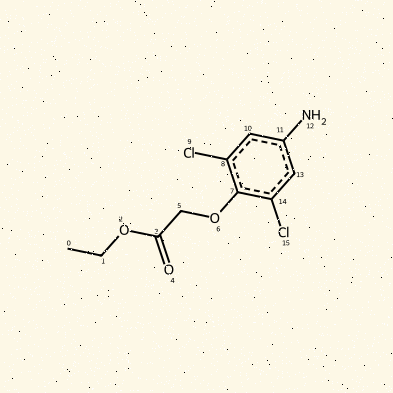 CCOC(=O)COc1c(Cl)cc(N)cc1Cl